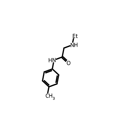 CCNCC(=O)Nc1ccc(C)cc1